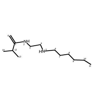 C=C(NCCNCCCCCC)C(C)C